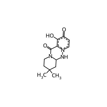 CC1(C)CCN2C(=O)c3c(O)c(=O)ccn3NC2C1